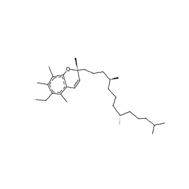 [CH2]Cc1c(C)c(C)c2c(c1C)C=C[C@@](C)(CCC[C@@H](C)CCC[C@@H](C)CCCC(C)C)O2